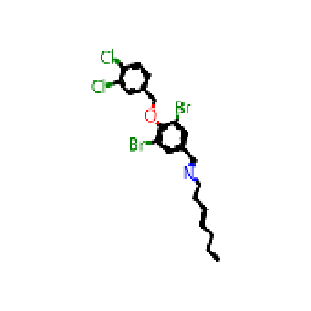 CCCCCCCN=Cc1cc(Br)c(OCc2ccc(Cl)c(Cl)c2)c(Br)c1